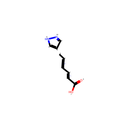 C/C=C/C=C/C(=O)O.c1cn[nH]c1